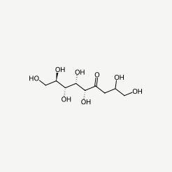 O=C(CC(O)CO)[C@H](O)[C@@H](O)[C@H](O)[C@H](O)CO